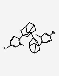 Cc1cc(Br)ccc1C12CC3CC(C1)CC(C14CC5CC(CC(c6ccc(Br)cc6C)(C5)C1)C4)(C3)C2